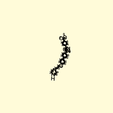 COC(=O)c1ccc(-c2nnc(-c3ccc(-c4ccc(OCCCN5CCNCC5)cc4)cc3)o2)cc1